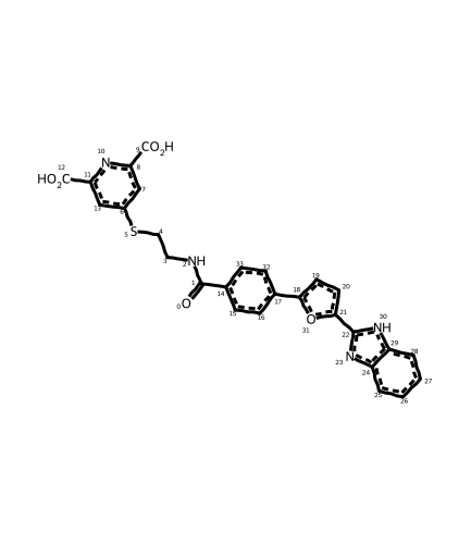 O=C(NCCSc1cc(C(=O)O)nc(C(=O)O)c1)c1ccc(-c2ccc(-c3nc4ccccc4[nH]3)o2)cc1